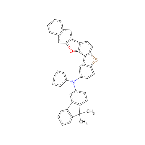 CC1(C)c2ccccc2-c2cc(N(c3ccccc3)c3ccc4sc5ccc6c7cc8ccccc8cc7oc6c5c4c3)ccc21